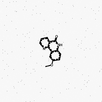 COc1ccc2[nH]c(=O)c3cccnc3c2c1